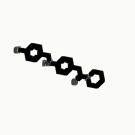 O=C(Cc1ccc(NCc2ccc(Cl)cc2)cc1)N1CCCCC1